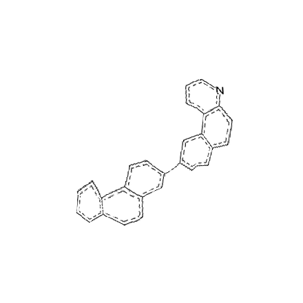 c1ccc2c(c1)ccc1cc(-c3ccc4ccc5ncccc5c4c3)ccc12